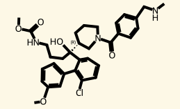 CNCc1ccc(C(=O)N2CCC[C@@H](C(O)(CCCNC(=O)OC)c3cccc(Cl)c3-c3cccc(OC)c3)C2)cc1